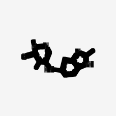 Cc1nc2cc(Nc3cnn(C)c(=O)c3C)ccc2[nH]1